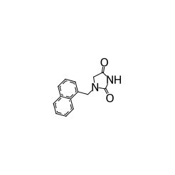 O=C1CN(Cc2cccc3ccccc23)C(=O)N1